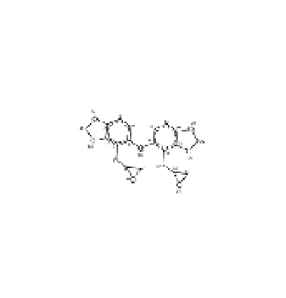 c1cc2c(c(CC3CO3)c1Oc1ccc3c(c1CC1CO1)OCO3)OCO2